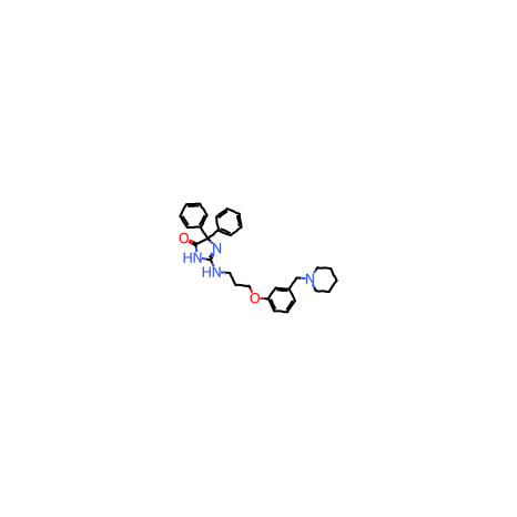 O=C1NC(NCCCOc2cccc(CN3CCCCC3)c2)=NC1(c1ccccc1)c1ccccc1